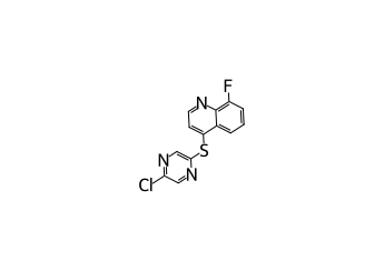 Fc1cccc2c(Sc3cnc(Cl)cn3)ccnc12